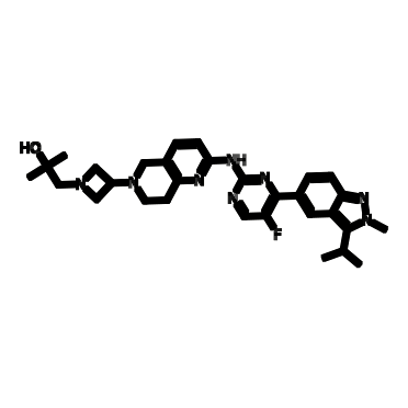 CC(C)c1c2cc(-c3nc(Nc4ccc5c(n4)CCN(C4CN(CC(C)(C)O)C4)C5)ncc3F)ccc2nn1C